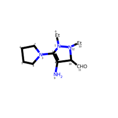 CCN1C(N2CCCC2)=C(N)C(C=O)N1CC